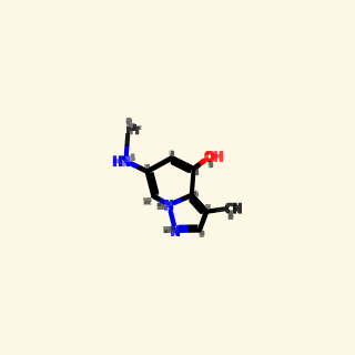 CC(C)Nc1cc(O)c2c(C#N)cnn2c1